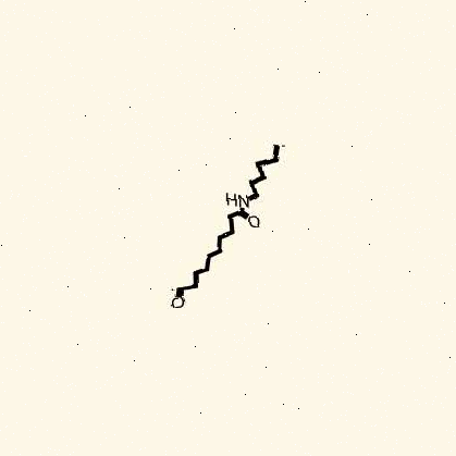 [CH2]CCCCCNC(=O)CCCCCCCC[C]=O